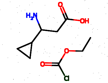 CCOC(=O)Cl.NC(CC(=O)O)C1CC1